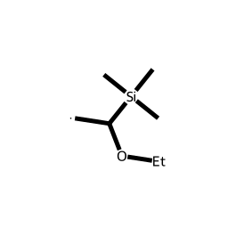 [CH2]C(OCC)[Si](C)(C)C